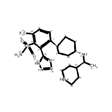 CC(N[C@H]1CC[C@H](c2ccc(C(F)(F)F)c(S(N)(=O)=O)c2-c2nnn[nH]2)CC1)C1CCNCC1